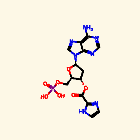 Nc1ncnc2c1ncn2[C@H]1C[C@H](OC(=O)c2ncc[nH]2)[C@@H](COP(=O)(O)O)O1